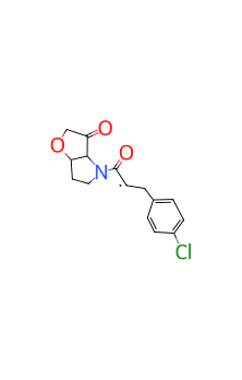 O=C1COC2CCN(C(=O)[CH]Cc3ccc(Cl)cc3)C12